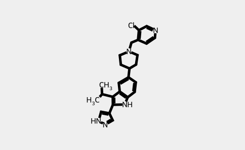 CC(C)c1c(-c2cn[nH]c2)[nH]c2ccc(C3CCN(Cc4ccncc4Cl)CC3)cc12